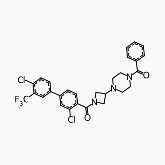 O=C(c1ccccc1)N1CCN(C2CN(C(=O)c3ccc(-c4ccc(Cl)c(C(F)(F)F)c4)cc3Cl)C2)CC1